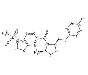 C[C@@H]1CC[C@H](CCc2ccc(F)cc2)N1C(=O)c1ccc2c(c1)CCN2S(C)(=O)=O